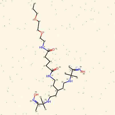 CCCOCCOCCNC(=O)CCCC(=O)NCCC(CCNC(C)(C)/C(C)=N\O)CCNC(C)(C)/C(C)=N\O